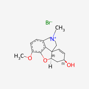 COc1ccc2c3c1O[C@@H]1C[C@H](O)C=CC31CC[N+](C)=C2.[Br-]